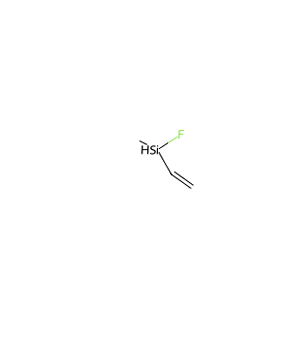 C=C[SiH](C)F